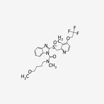 COCC[CH]CN(C)C(=O)n1c([S@+]([O-])Cc2nccc(OCC(F)(F)F)c2C)nc2ccccc21